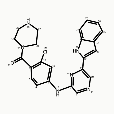 O=C(c1ccc(Nc2cncc(-c3cc4ccccc4[nH]3)n2)cc1Cl)N1CCNCC1